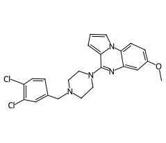 COc1ccc2c(c1)nc(N1CCN(Cc3ccc(Cl)c(Cl)c3)CC1)c1cccn12